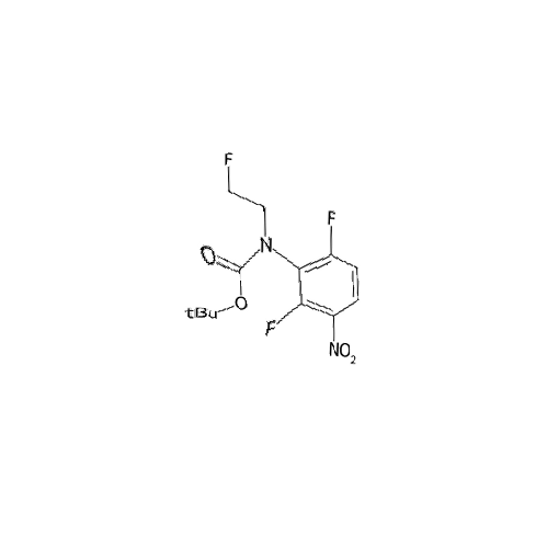 CC(C)(C)OC(=O)N(CCF)c1c(F)ccc([N+](=O)[O-])c1F